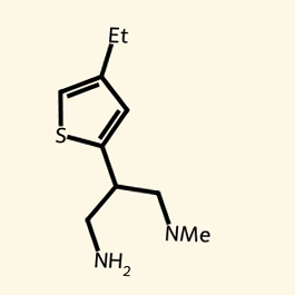 CCc1csc(C(CN)CNC)c1